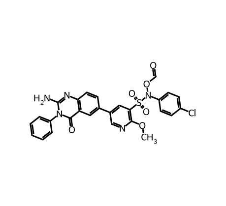 COc1ncc(-c2ccc3nc(N)n(-c4ccccc4)c(=O)c3c2)cc1S(=O)(=O)N(OC=O)c1ccc(Cl)cc1